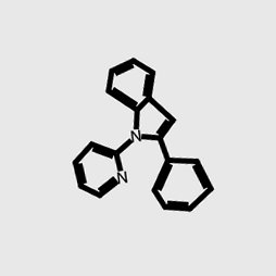 c1ccc(-c2cc3ccccc3n2-c2ccccn2)cc1